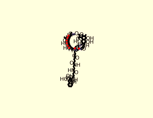 CO[C@H]1/C=C/O[C@@]2(C)Oc3c(C)c(O)c4c(O)c(c(/C=N/N5CCN(CCOC(=O)CCC(=O)NCCNC(=O)CCC(=O)OC(Cc6ccccn6)(P(O)O)P(=O)(O)O)CC5)c(O)c4c3C2=O)NC(=O)/C(C)=C\C=C\[C@H](C)[C@H](O)[C@@H](C)[C@@H](O)[C@@H](C)[C@H](OC(C)=O)[C@@H]1C